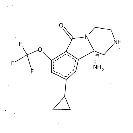 N[C@@]12CNCCN1C(=O)c1c(OC(F)(F)F)cc(C3CC3)cc12